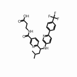 CC(C)CC(Nc1ccc(-c2ccc(C(F)(F)F)cc2)nc1)c1ccc(C(=O)NCCC(=O)O)cn1